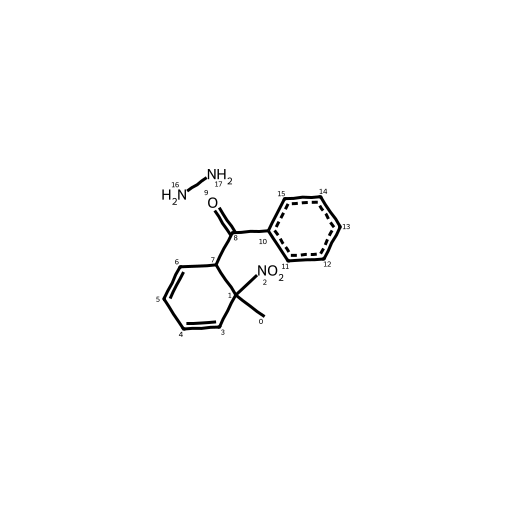 CC1([N+](=O)[O-])C=CC=CC1C(=O)c1ccccc1.NN